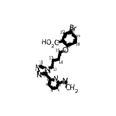 C=Nc1cccc(-c2nncn2CCCCOc2ccc(Br)cc2C(=O)O)n1